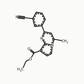 CCOC(=O)c1ccn2c(C)cc(-c3cccc(C#N)c3)nc12